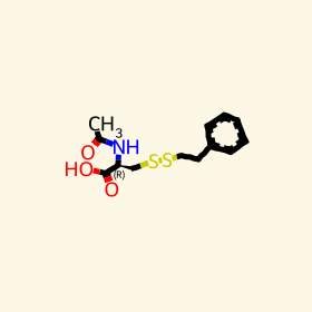 CC(=O)N[C@@H](CSSCCc1ccccc1)C(=O)O